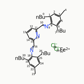 CCCCc1cc(C)cc(CCCC)c1N=Cc1cccc(C=Nc2c(CCCC)cc(C)cc2CCCC)n1.[Cl-].[Cl-].[Fe+2]